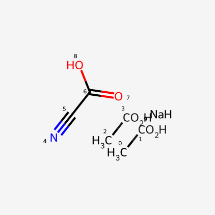 CC(=O)O.CC(=O)O.N#CC(=O)O.[NaH]